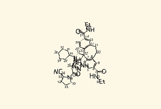 CCNC(=O)c1ccc2c(c1)CCc1cc(C(=O)NCC)ccc1C2(C[C@H](NCC(=O)N1CCC[C@H]1C#N)C1CCCCC1)c1nnn[nH]1